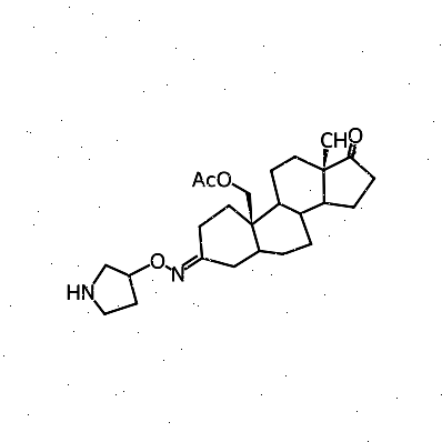 CC(=O)OC[C@]12CCC(=NOC3CCNC3)CC1CCC1C2CC[C@]2(C)C(=O)CCC12